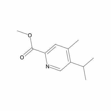 COC(=O)c1cc(C)c(C(C)C)cn1